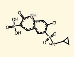 O=c1[nH]c2cc(Cl)c(S(=O)(=O)NC3CC3)cc2cc1P(=O)(O)O